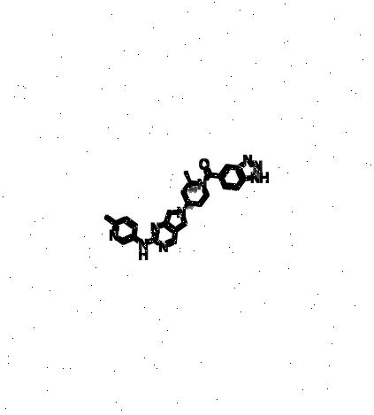 Cc1ccc(Nc2ncc3c(n2)CN([C@H]2CCN(C(=O)c4ccc5[nH]nnc5c4)[C@H](C)C2)C3)cn1